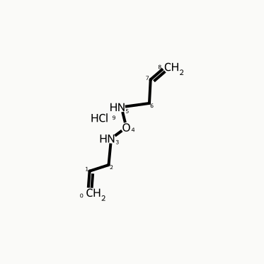 C=CCNONCC=C.Cl